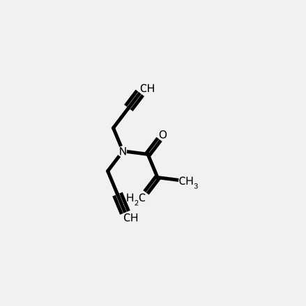 C#CCN(CC#C)C(=O)C(=C)C